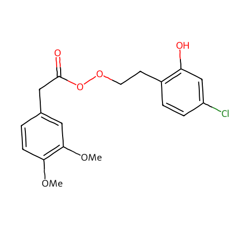 COc1ccc(CC(=O)OOCCc2ccc(Cl)cc2O)cc1OC